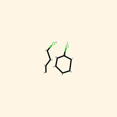 CCCCCl.ClC1CCCCC1